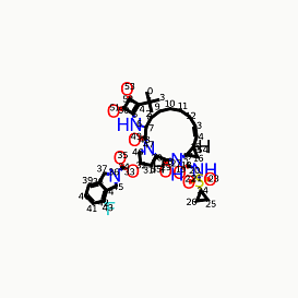 CC(C)(C)c1c(N[C@H]2CCCCC/C=C\[C@@H]3C[C@@]3(C(=O)NS(=O)(=O)C3CC3)NC(=O)[C@@H]3C[C@@H](OC(=O)N4Cc5cccc(F)c5C4)CN3C2=O)c(=O)c1=O